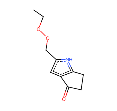 CCOOCc1cc2c([nH]1)CCC2=O